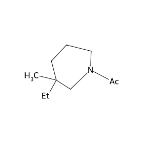 CCC1(C)CCCN(C(C)=O)C1